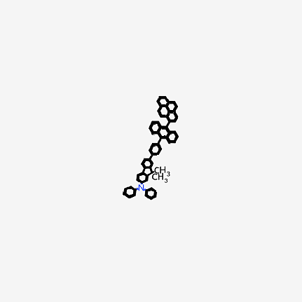 CC1(C)c2cc(-c3ccc(-c4c5ccccc5c(-c5ccc6ccc7cccc8ccc5c6c78)c5ccccc45)cc3)ccc2-c2ccc(N(c3ccccc3)c3ccccc3)cc21